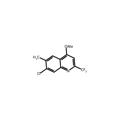 COc1cc(C(F)(F)F)nc2cc(Cl)c(C)cc12